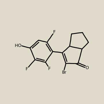 O=C1C(Br)=C(c2c(F)cc(O)c(F)c2F)C2CCCC12